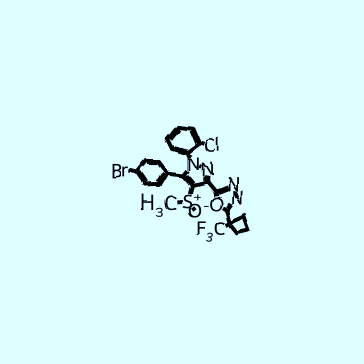 C[S+]([O-])c1c(-c2nnc(C3(C(F)(F)F)CCC3)o2)nn(-c2ccccc2Cl)c1-c1ccc(Br)cc1